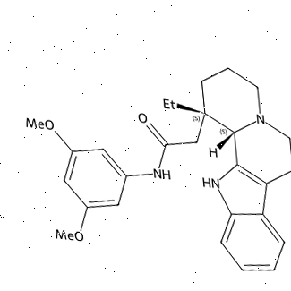 CC[C@@]1(CC(=O)Nc2cc(OC)cc(OC)c2)CCCN2CCc3c([nH]c4ccccc34)[C@@H]21